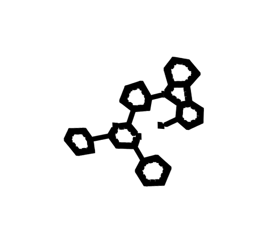 Brc1cccc2c3ccccc3n(-c3cccc(-c4nc(-c5ccccc5)cc(-c5ccccc5)n4)c3)c12